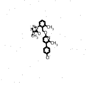 Cc1cccc(-n2nnn(C)c2=O)c1COc1ccc(-c2ccc(Cl)cc2)c(C)n1